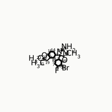 CN1C(=O)C(c2ccc(F)c(Br)c2)(c2ccc3c(c2)CC(C)(C)O3)N=C1N